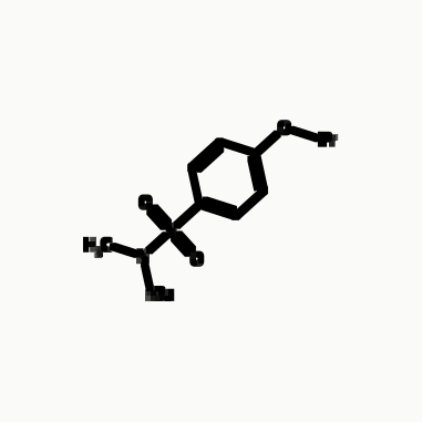 CCCCN(C)S(=O)(=O)c1ccc(OC(C)C)cc1